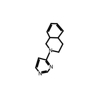 C1=CC2CCN(c3ccncn3)CC2C=C1